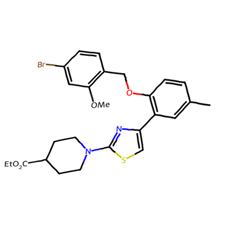 CCOC(=O)C1CCN(c2nc(-c3cc(C)ccc3OCc3ccc(Br)cc3OC)cs2)CC1